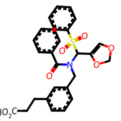 O=C(O)CCc1cccc(CN(C(=O)c2ccccc2)C(C2=COCO2)S(=O)(=O)c2ccccc2)c1